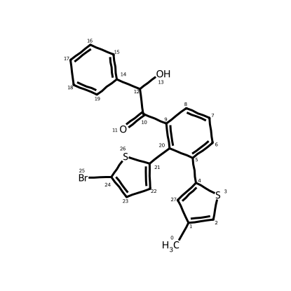 Cc1csc(-c2cccc(C(=O)C(O)c3ccccc3)c2-c2ccc(Br)s2)c1